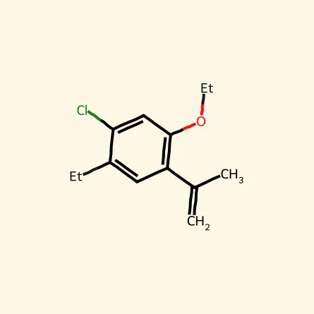 C=C(C)c1cc(CC)c(Cl)cc1OCC